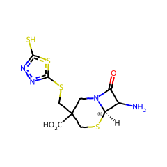 NC1C(=O)N2CC(CSc3nnc(S)s3)(C(=O)O)CS[C@H]12